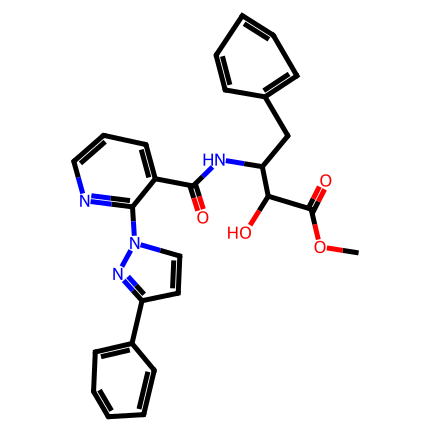 COC(=O)C(O)C(Cc1ccccc1)NC(=O)c1cccnc1-n1ccc(-c2ccccc2)n1